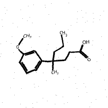 CCCC(C)(CCC(=O)O)c1cccc(OC)c1